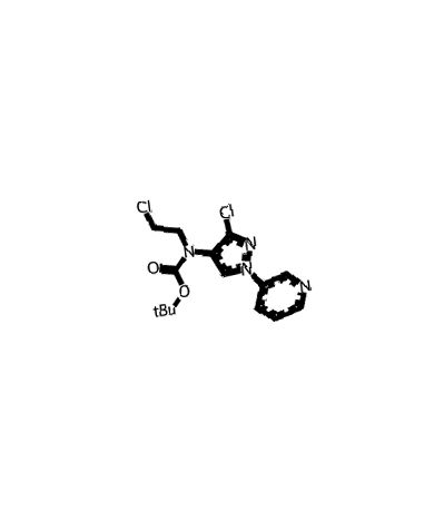 CC(C)(C)OC(=O)N(CCCl)c1cn(-c2cccnc2)nc1Cl